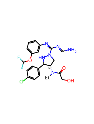 CCN(C(=O)CO)[C@H]1CN(C(N=CN)=Nc2cccc(OC(F)F)c2)NC1c1ccc(Cl)cc1